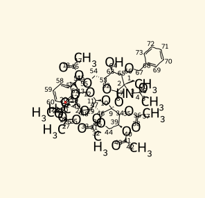 CC[C@@]1(NC(C)=O)[C@@H](O[C@]2(O[C@@H]3O[C@H](COC(C)=O)[C@H](OC(C)=O)[C@H](OC(C)=O)[C@H]3OC(C)=O)[C@H](OC(C)=O)[C@@H](OC(C)=O)CO[C@@H]2COC(C)=O)O[C@H](COCc2ccccc2)[C@@H](O)[C@@H]1OCc1ccccc1